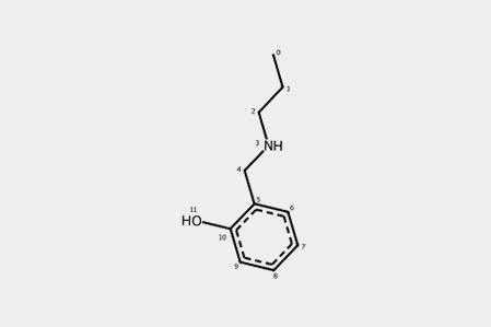 CCCNCc1ccccc1O